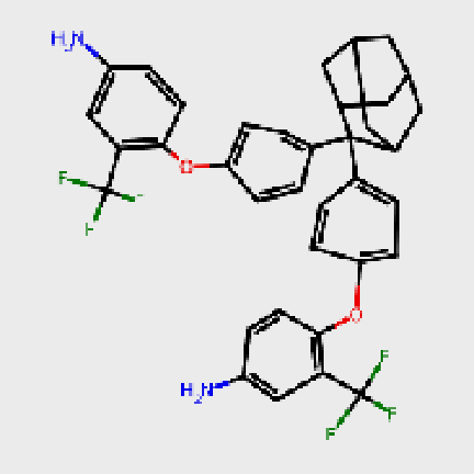 Nc1ccc(Oc2ccc(C3(c4ccc(Oc5ccc(N)cc5C(F)(F)F)cc4)C4CC5CC(C4)CC3C5)cc2)c(C(F)(F)F)c1